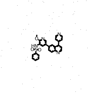 COc1ncc(-c2ccc3nccc(-c4ccncc4)c3c2)cc1NS(=O)(=O)c1ccccc1